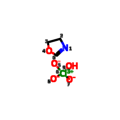 C1=NCCO1.[O-][Cl+3]([O-])([O-])O